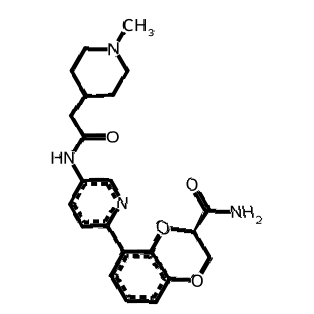 CN1CCC(CC(=O)Nc2ccc(-c3cccc4c3O[C@@H](C(N)=O)CO4)nc2)CC1